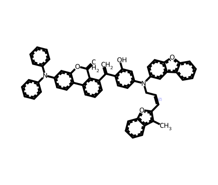 C=C(c1ccc(N(C/C=C\c2oc3ccccc3c2C)c2ccc3oc4ccccc4c3c2)cc1O)c1cccc2c1C(=C)Oc1cc(N(c3ccccc3)c3ccccc3)ccc1-2